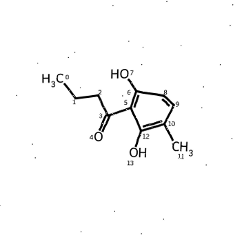 CCCC(=O)c1c(O)ccc(C)c1O